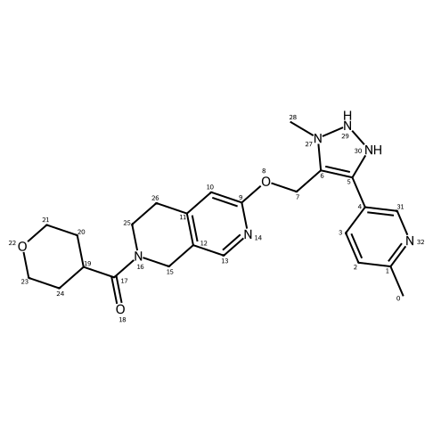 Cc1ccc(C2=C(COc3cc4c(cn3)CN(C(=O)C3CCOCC3)CC4)N(C)NN2)cn1